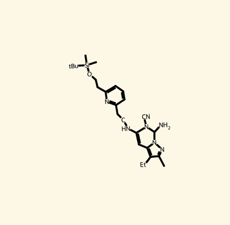 CCc1c(C)nn2c1C=C(NCCc1cccc(CCO[Si](C)(C)C(C)(C)C)n1)N(C#N)C2N